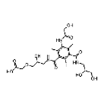 O=C(O)COCC(O)CNC(=O)c1c(I)c(NC(=O)CO)c(I)c(C(=O)NCC(O)CO)c1I